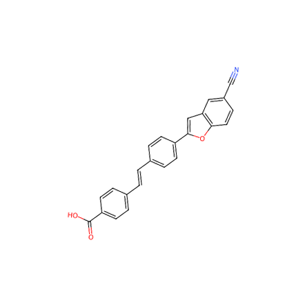 N#Cc1ccc2oc(-c3ccc(/C=C/c4ccc(C(=O)O)cc4)cc3)cc2c1